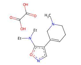 CCN(CC)c1oncc1C1=CCCN(C)C1.O=C(O)C(=O)O